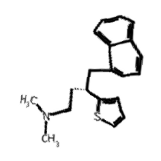 CN(C)CC[C@H](Cc1cccc2ccccc12)c1cccs1